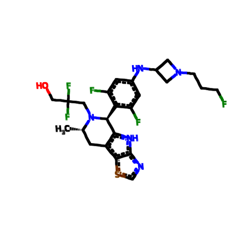 C[C@H]1Cc2c([nH]c3ncsc23)[C@H](c2c(F)cc(NC3CN(CCCF)C3)cc2F)N1CC(F)(F)CO